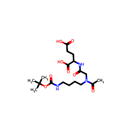 CC(=O)N(CCCCNC(=O)OC(C)(C)C)CC(=O)NC(CCC(=O)O)C(=O)O